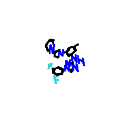 Cc1cc(Nc2ncn(-c3cc(F)cc(F)c3)n2)cc(N2CC[C@H](N3CCCC3)C2)c1